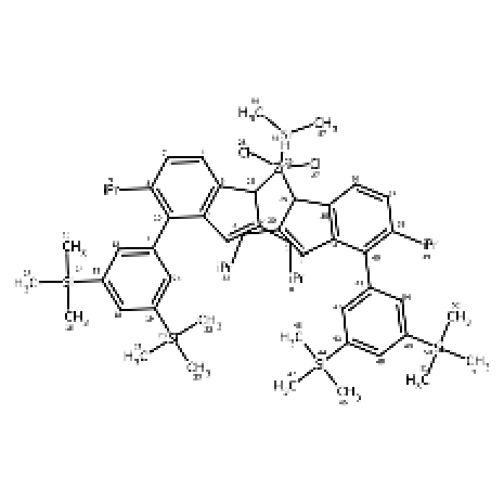 CC(C)CC1=Cc2c(ccc(C(C)C)c2-c2cc([Si](C)(C)C)cc([Si](C)(C)C)c2)[CH]1[Zr]([Cl])([Cl])([CH]1C(CC(C)C)=Cc2c1ccc(C(C)C)c2-c1cc([Si](C)(C)C)cc([Si](C)(C)C)c1)[SiH](C)C